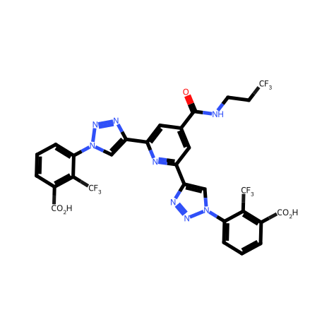 O=C(NCCC(F)(F)F)c1cc(-c2cn(-c3cccc(C(=O)O)c3C(F)(F)F)nn2)nc(-c2cn(-c3cccc(C(=O)O)c3C(F)(F)F)nn2)c1